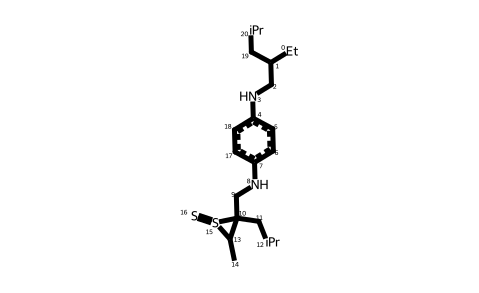 CCC(CNc1ccc(NCC2(CC(C)C)C(C)S2=S)cc1)CC(C)C